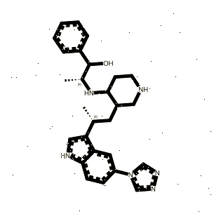 C[C@H](CC1CNCCC1N[C@H](C)C(O)c1ccccc1)c1c[nH]c2ccc(-n3cnnc3)cc12